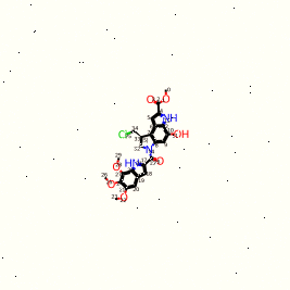 COC(=O)c1cc2c3c(cc(O)c2[nH]1)N(C(=O)c1cc2cc(OC)c(OC)c(OC)c2[nH]1)C[C@H]3CCl